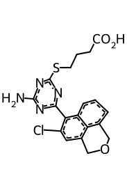 Nc1nc(SCCCC(=O)O)nc(-c2c(Cl)cc3c4c(cccc24)COC3)n1